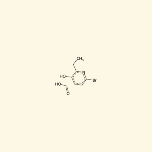 CCc1nc(Br)ccc1O.O=CO